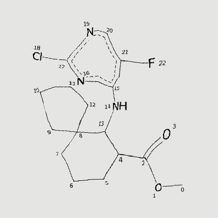 COC(=O)C1CCCC2(CCCC2)C1Nc1nc(Cl)ncc1F